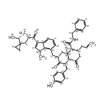 C=CCN1CC(=O)N2[C@@H](Cc3ccc(O)cc3)C(=O)N(Cc3cccc4c(C(=O)N(C)CC5(CO)CC5)cn(C)c34)C[C@@H]2N1C(=O)NCc1ccccc1